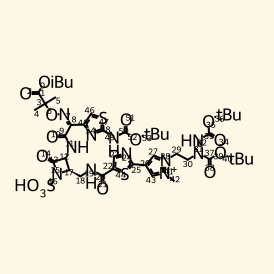 CC(C)COC(=O)C(C)(C)O/N=C(\C(=O)N[C@@H]1C(=O)N(S(=O)(=O)O)[C@@H]1CNC(=O)c1cnc(-c2cn(CCN(NC(=O)OC(C)(C)C)C(=O)OC(C)(C)C)[n+](C)c2)s1)c1csc(NC(=O)OC(C)(C)C)n1